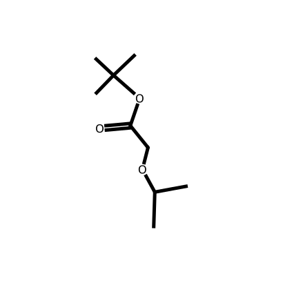 CC(C)OCC(=O)OC(C)(C)C